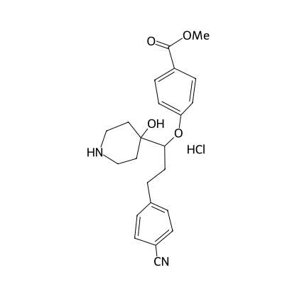 COC(=O)c1ccc(OC(CCc2ccc(C#N)cc2)C2(O)CCNCC2)cc1.Cl